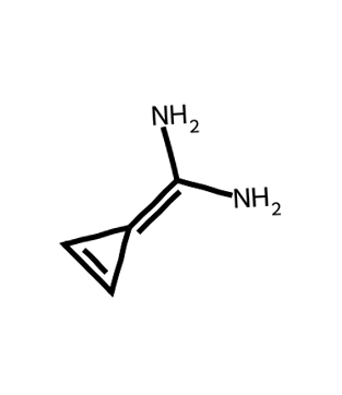 NC(N)=C1C=C1